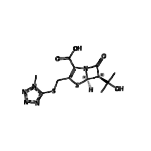 Cn1nnnc1SCC1=C(C(=O)O)N2C(=O)[C@@H](C(C)(C)O)[C@H]2S1